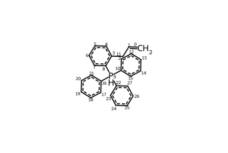 C=CCc1ccccc1[PH](c1ccccc1)(c1ccccc1)c1ccccc1